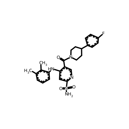 Cc1cccc(Nc2cc(S(N)(=O)=O)ncc2C(=O)N2CCC(c3ccc(F)cc3)CC2)c1C